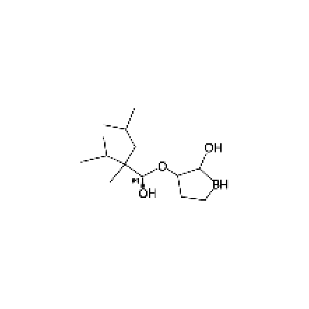 CC(C)CC(C)(C(C)C)[C@H](O)OC1CCBC1O